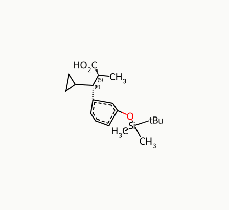 C[C@H](C(=O)O)[C@H](c1cccc(O[Si](C)(C)C(C)(C)C)c1)C1CC1